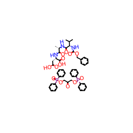 CC(C)[C@H](NC(=O)OCc1ccccc1)C(=O)N[C@@H](C)C(=O)N[C@@H](CC(=O)O)C(=O)O.O=C(COP(=O)(c1ccccc1)c1ccccc1)COP(=O)(c1ccccc1)c1ccccc1